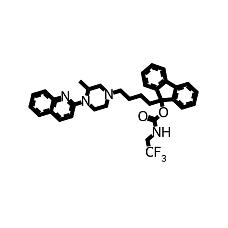 CC1CN(CCCCC2(OC(=O)NCC(F)(F)F)c3ccccc3-c3ccccc32)CCN1c1ccc2ccccc2n1